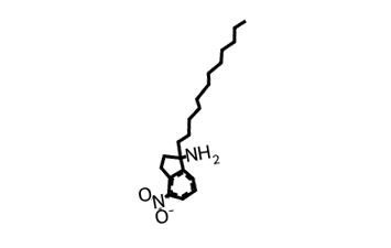 CCCCCCCCCCCCC1(N)CCc2c([N+](=O)[O-])cccc21